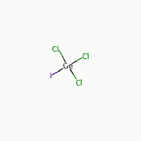 [Cl][Ge]([Cl])([Cl])[I]